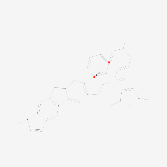 [CH2]=[Zr]([C]1=CC(C)=CC1C)([C]1=Cc2cc3c(cc2C1(C)C)Cc1cc2c(cc1-3)C=CC2(C)C)([c]1ccc(F)cc1)[c]1ccc(F)cc1